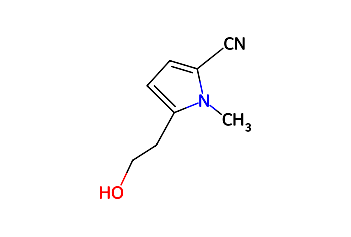 Cn1c(C#N)ccc1CCO